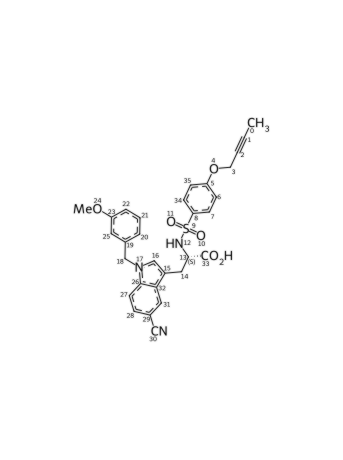 CC#CCOc1ccc(S(=O)(=O)N[C@@H](Cc2cn(Cc3cccc(OC)c3)c3ccc(C#N)cc23)C(=O)O)cc1